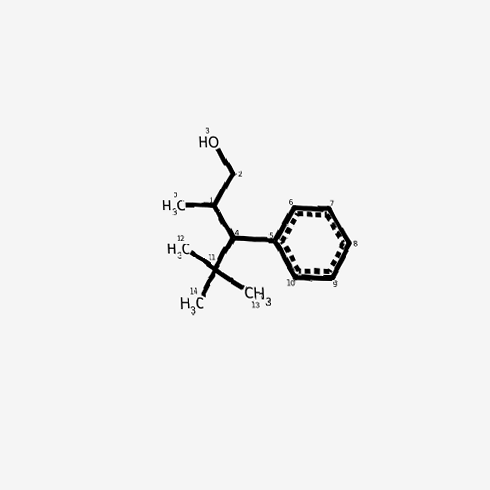 CC(CO)C(c1ccccc1)C(C)(C)C